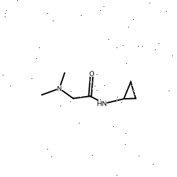 CN(C)CC(=O)NC1CC1